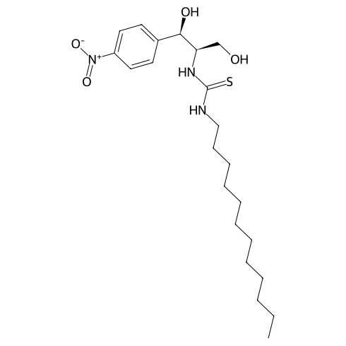 CCCCCCCCCCCCNC(=S)N[C@H](CO)[C@H](O)c1ccc([N+](=O)[O-])cc1